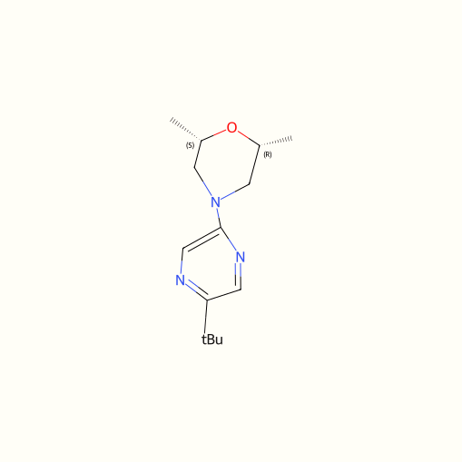 C[C@@H]1CN(c2cnc(C(C)(C)C)cn2)C[C@H](C)O1